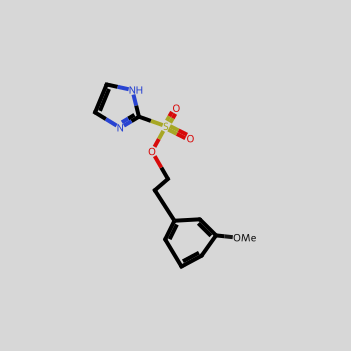 COc1cccc(CCOS(=O)(=O)c2ncc[nH]2)c1